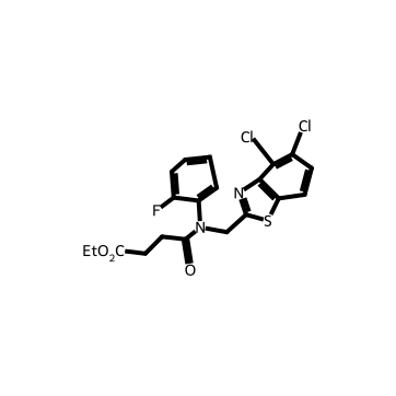 CCOC(=O)CCC(=O)N(Cc1nc2c(Cl)c(Cl)ccc2s1)c1ccccc1F